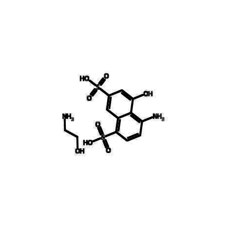 NCCO.Nc1ccc(S(=O)(=O)O)c2cc(S(=O)(=O)O)cc(O)c12